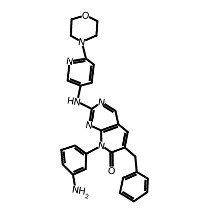 Nc1cccc(-n2c(=O)c(Cc3ccccc3)cc3cnc(Nc4ccc(N5CCOCC5)nc4)nc32)c1